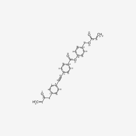 C=CC(=O)Cc1ccc(C#Cc2ccc(C(=O)Oc3ccc(COC(=O)C=C)cc3)cc2)cc1